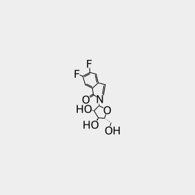 O=c1c2cc(F)c(F)cc2ccn1[C@@H]1O[C@H](CO)[C@@H](O)[C@@H]1O